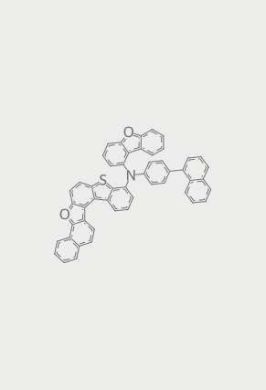 c1ccc2c(-c3ccc(N(c4cccc5c4sc4ccc6oc7c8ccccc8ccc7c6c45)c4cccc5oc6ccccc6c45)cc3)cccc2c1